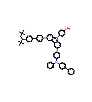 COc1ccc(-n2c3ccc(-c4ccc(-c5ccc(C(CC(C)(C)C)C(C)(C)C)cc5)cc4)cc3c3cc(-c4ccc(N(c5ccccc5)c5ccc(-c6ccccc6)cc5)cc4)ccc32)cc1